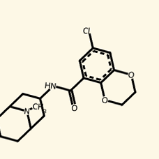 CN1C2CCCC1CC(NC(=O)c1cc(Cl)cc3c1OCCO3)C2